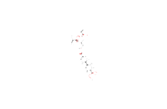 C=CC(=O)OCC(CCOC(=O)C1CCC(C2CCC(C(=O)OC)CC2)CC1)OC(=O)C(=C)C